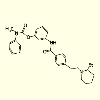 CCC1CCCCN1CCc1ccc(C(=O)Nc2cccc(OC(=O)N(C)c3ccccc3)c2)cc1